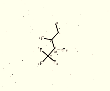 [CH2]CC(F)[C@H](F)C(F)(F)F